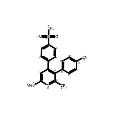 COc1cc(-c2ccc(S(C)(=O)=O)cc2)c(-c2ccc(C#N)cc2)c(C(F)(F)F)n1